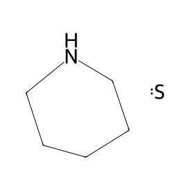 C1CCNCC1.[S]